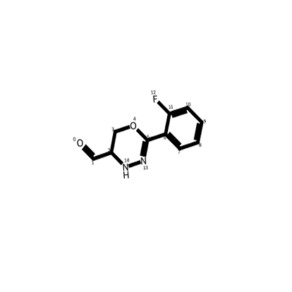 O=CC1COC(c2ccccc2F)=NN1